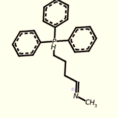 C/N=C/CCC[PH](c1ccccc1)(c1ccccc1)c1ccccc1